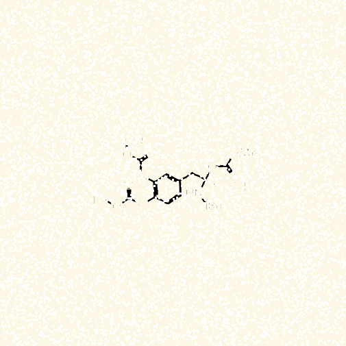 CCC(C)N[C@@](Cc1ccc(OC(=O)OC(C)(C)C)c(OC(=O)OC(C)(C)C)c1)(OC(=O)OC)C(=O)O